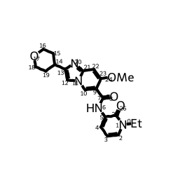 CCn1cccc(NC(=O)c2cn3cc(C4CCOCC4)nc3cc2OC)c1=O